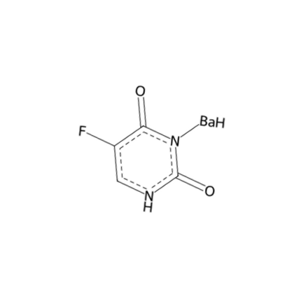 O=c1[nH]cc(F)c(=O)[n]1[BaH]